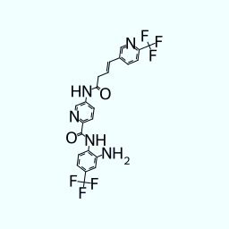 Nc1cc(C(F)(F)F)ccc1NC(=O)c1ccc(NC(=O)C/C=C/c2ccc(C(F)(F)F)nc2)cn1